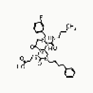 CCCCNC(=O)N1[C@H]2CN(CCCCc3ccccc3)C(=O)[C@H](CCC(=O)O)N2C(=O)CN1Cc1cccc(F)c1